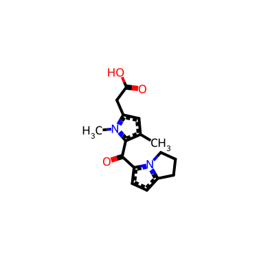 Cc1cc(CC(=O)O)n(C)c1C(=O)c1ccc2n1CCC2